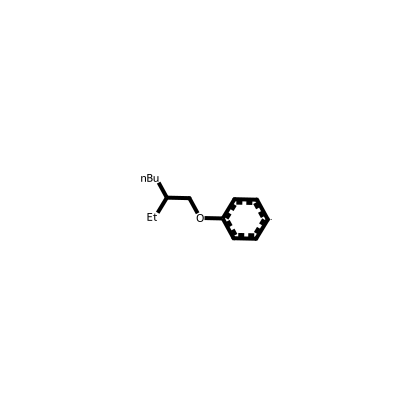 CCCCC(CC)COc1cc[c]cc1